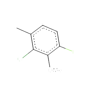 [CH2]c1ccc(F)c(OC)c1Cl